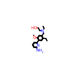 CCc1cc(-c2cccc(N)n2)c(OC)cc1CN(CC)CCO